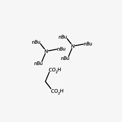 CCCCN(CCCC)CCCC.CCCCN(CCCC)CCCC.O=C(O)CC(=O)O